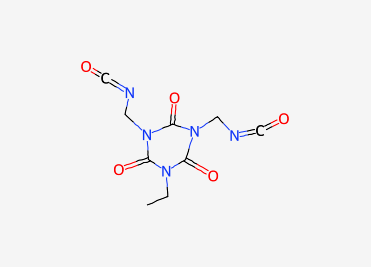 CCn1c(=O)n(CN=C=O)c(=O)n(CN=C=O)c1=O